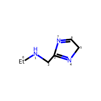 CCNCC1=NCC=N1